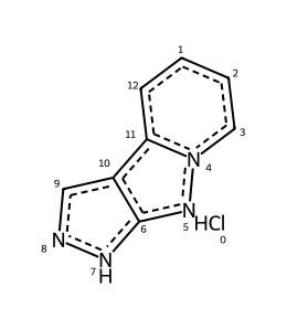 Cl.c1ccn2nc3[nH]ncc3c2c1